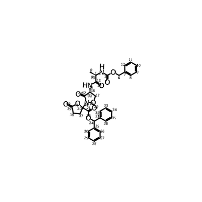 C[C@@H](NC(=O)OCc1ccccc1)C(=O)N[C@H]1CON(C2(C(=O)OC(c3ccccc3)c3ccccc3)CCC(=O)O2)C1=O